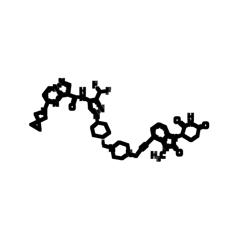 Cn1c(=O)n(C2CCC(=O)NC2=O)c2cccc(C#CCN3CCN(C[C@H]4CC[C@H](n5cc(NC(=O)c6cnn7ccc(N8CC9(CC9)C8)nc67)c(C(F)F)n5)CC4)CC3)c21